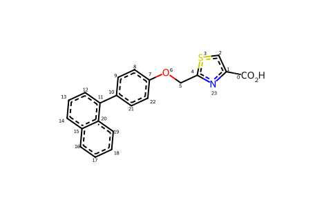 O=C(O)c1csc(COc2ccc(-c3cccc4ccccc34)cc2)n1